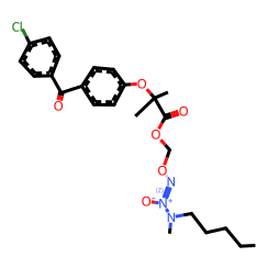 CCCCCN(C)/[N+]([O-])=N/OCOC(=O)C(C)(C)Oc1ccc(C(=O)c2ccc(Cl)cc2)cc1